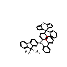 CC1(C)c2ccccc2-c2ccc(N(c3ccc4c(c3)-c3ccccc3C43c4ccccc4Oc4ccccc43)c3ccccc3-c3ccccc3)cc21